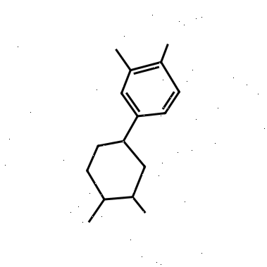 Cc1ccc(C2CCC(C)C(C)C2)cc1C